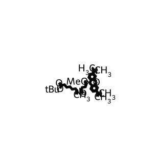 COP(CCC(=O)N(C)CCCCCC(=O)OC(C)(C)C)C1c2ccc(N(C)C)cc2Oc2cc(N(C)C)ccc21